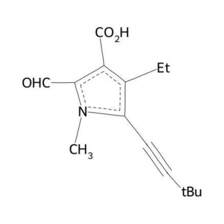 CCc1c(C(=O)O)c(C=O)n(C)c1C#CC(C)(C)C